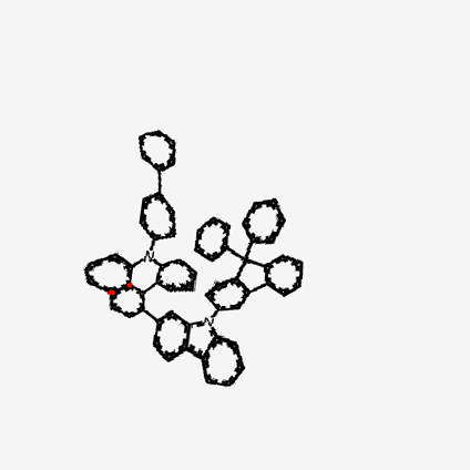 c1ccc(-c2ccc(N(c3ccccc3)c3ccccc3-c3ccccc3-c3ccc4c5ccccc5n(-c5ccc6c(c5)-c5ccccc5C6(c5ccccc5)c5ccccc5)c4c3)cc2)cc1